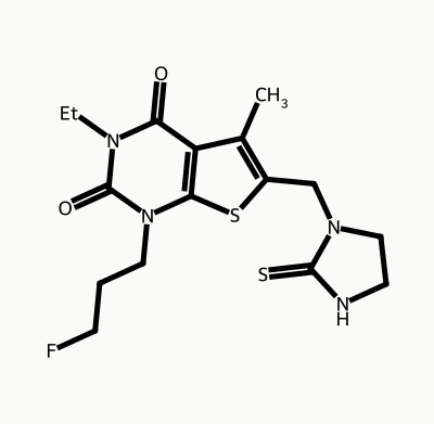 CCn1c(=O)c2c(C)c(CN3CCNC3=S)sc2n(CCCF)c1=O